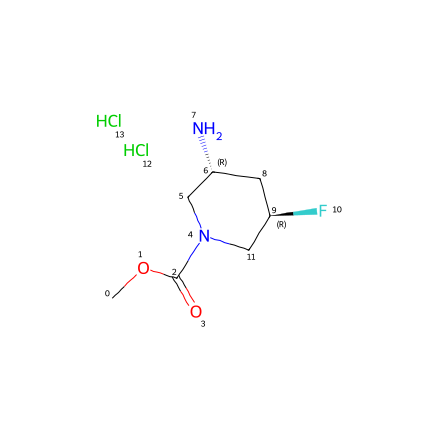 COC(=O)N1C[C@H](N)C[C@@H](F)C1.Cl.Cl